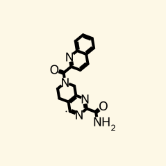 NC(=O)c1n[c]c2c(n1)CN(C(=O)c1ccc3ccccc3n1)CC2